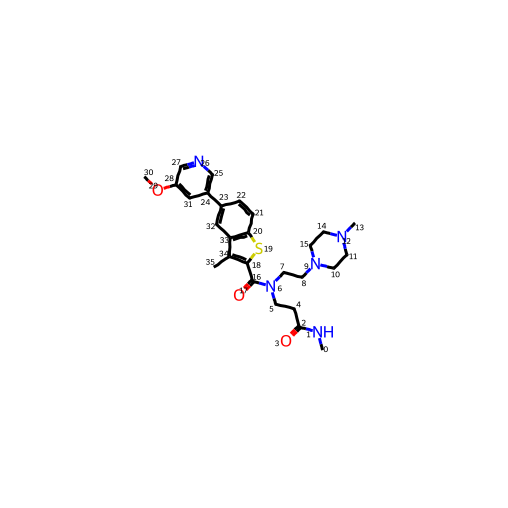 CNC(=O)CCN(CCN1CCN(C)CC1)C(=O)c1sc2ccc(-c3cncc(OC)c3)cc2c1C